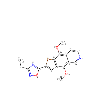 CCc1noc(-c2cc3c(OC)c4cnccc4c(OC)c3s2)n1